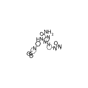 CN(C)C(=O)N(C)C1CCCN(c2cnc(C(N)=O)c(Nc3ccc(N4CCS(=O)(=O)CC4)cc3)n2)C1